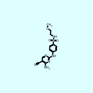 COCCNS(=O)(=O)c1ccc(Nc2ncc(C#N)c(N)n2)cc1